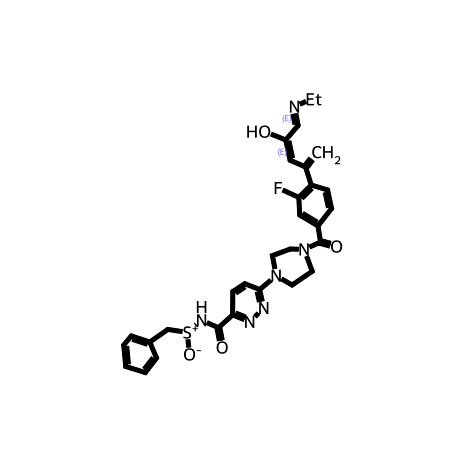 C=C(/C=C(O)\C=N\CC)c1ccc(C(=O)N2CCN(c3ccc(C(=O)N[S+]([O-])Cc4ccccc4)nn3)CC2)cc1F